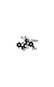 COc1cc(CO)cc(NC(C(=O)c2cocc2-c2ccccc2)c2cc(C)on2)c1